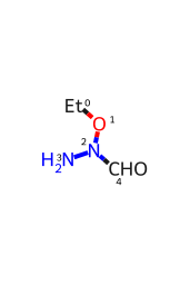 CCON(N)C=O